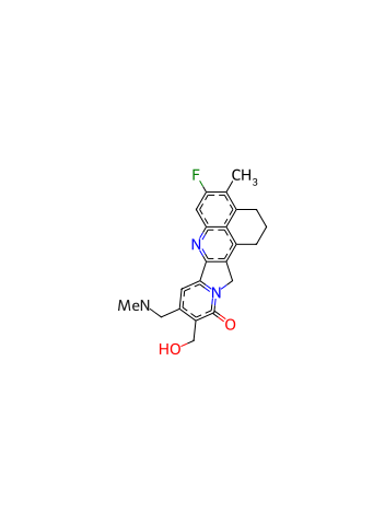 CNCc1cc2n(c(=O)c1CO)Cc1c-2nc2cc(F)c(C)c3c2c1CCC3